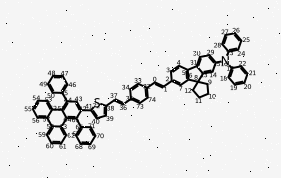 C(=C\c1ccc2c(c1)C1(CCCC1)c1cc(N(c3ccccc3)c3ccccc3)ccc1-2)/c1ccc(/C=C/c2ccc(-c3cc(-c4ccccc4)c4c5ccccc5c5ccccc5c4c3-c3ccccc3)s2)cc1